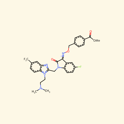 COC(=O)c1ccc(CO/N=C2/C(=O)N(Cc3nc4cc(C(F)(F)F)ccc4n3CCN(C)C)c3ccc(F)cc32)cc1